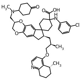 C[C@@H](COc1ccnc2c1[C@H](C)CCC2)C[C@H]1Cc2cc3c(cc2C12CCC(Nc1cccc(Cl)c1)(C(=O)O)CC2)O[C@H](CN(C)C1CCC(=O)CC1)CO3